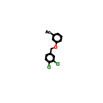 CC(=O)c1cccc(OCc2ccc(Cl)c(Cl)c2)c1